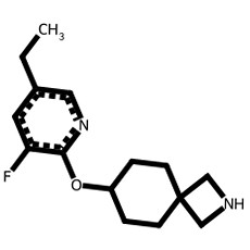 CCc1cnc(OC2CCC3(CC2)CNC3)c(F)c1